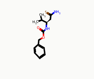 CC(C)[C@@H](CC(N)=S)NC(=O)OCc1ccccc1